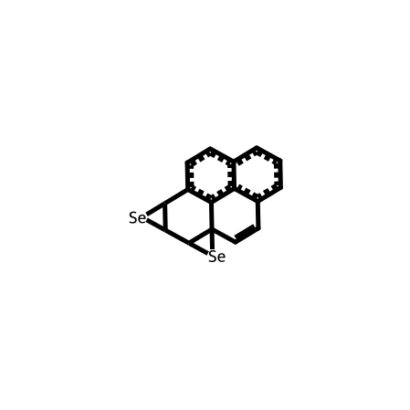 C1=CC23[Se]C2C2[Se]C2c2ccc4cccc1c4c23